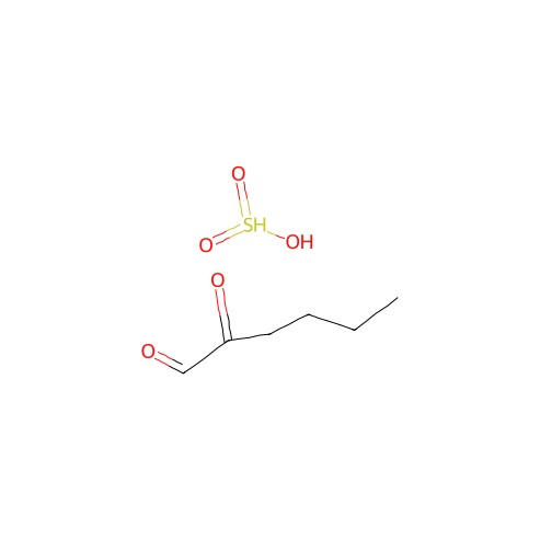 CCCCC(=O)C=O.O=[SH](=O)O